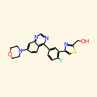 OCc1nc(-c2cc(-c3ncnc4cc(N5CCOCC5)ccc34)ccc2F)cs1